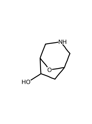 OC1CC2CNCC1O2